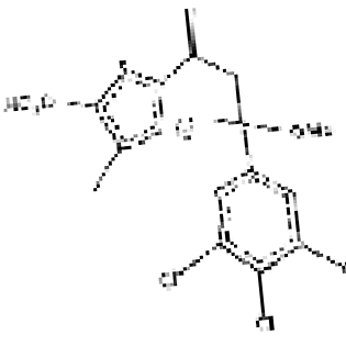 C=C(CC(OC)(c1cc(Cl)c(Cl)c(Cl)c1)C(F)(F)F)c1cc(C)c(C(=O)O)s1